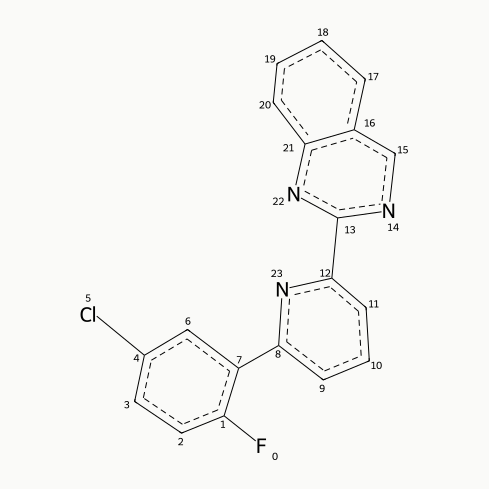 Fc1ccc(Cl)cc1-c1cccc(-c2ncc3ccccc3n2)n1